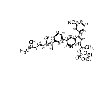 CCOP(=O)(OCC)OC(C)n1cc(-c2cccc(C#N)c2)c2cc(-c3cccc(NC(=O)/C=C/CN(C)C)c3)cnc21